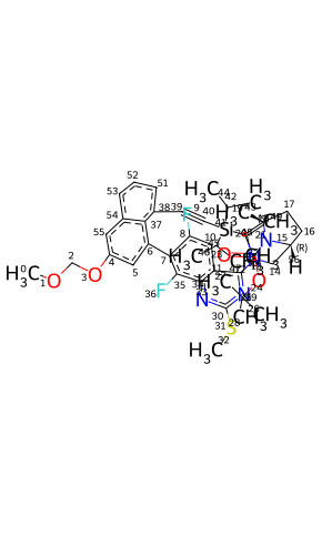 COCOc1cc(-c2c(F)cc3c(N4C[C@H]5CC[C@@](C)(C4)N5C(=O)OC(C)(C)C)nc(SC)nc3c2F)c2c(C#C[Si](C(C)C)(C(C)C)C(C)C)cccc2c1